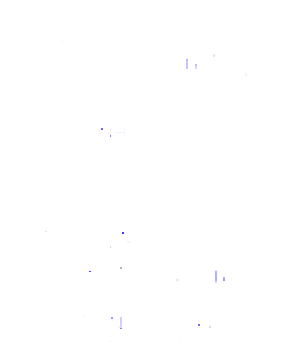 Cc1ccc(C(=O)Nc2cc(CN3CCCC3)cc(C(F)(F)F)c2)cc1Nc1ncnc2cnc(N(C)C)nc12